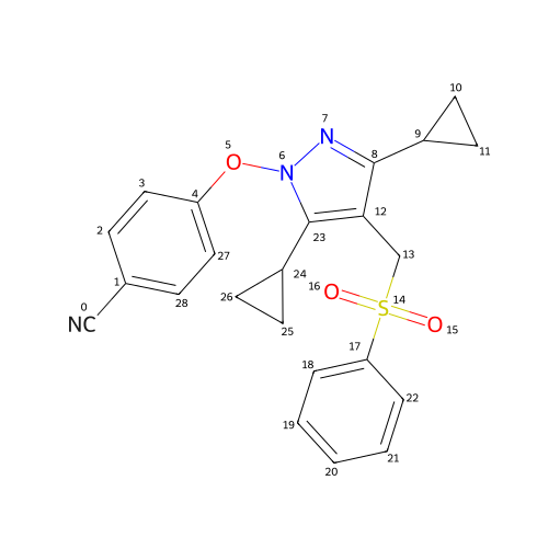 N#Cc1ccc(On2nc(C3CC3)c(CS(=O)(=O)c3ccccc3)c2C2CC2)cc1